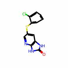 O=c1[nH]c2cc(Sc3ccccc3Cl)cnc2[nH]1